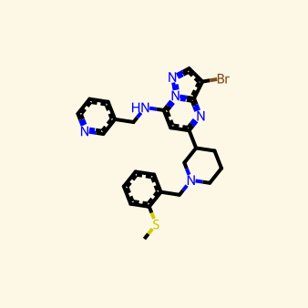 CSc1ccccc1CN1CCCC(c2cc(NCc3cccnc3)n3ncc(Br)c3n2)C1